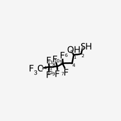 OC(CS)CC(F)(F)C(F)(F)C(F)(F)C(F)(F)F